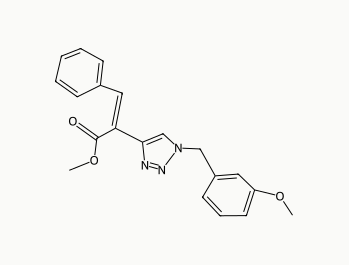 COC(=O)C(=Cc1ccccc1)c1cn(Cc2cccc(OC)c2)nn1